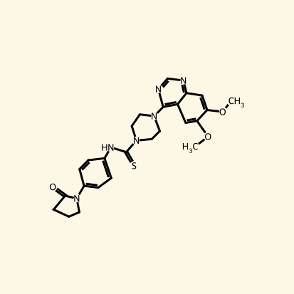 COc1cc2ncnc(N3CCN(C(=S)Nc4ccc(N5CCCC5=O)cc4)CC3)c2cc1OC